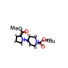 COC(=O)C1CCCN1C1CCN(C(=O)OC(C)(C)C)CC1